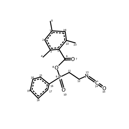 Cc1cc(C)c(C(=O)OP(=O)(CCN=C=O)c2ccccc2)c(C)c1